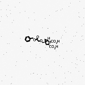 O=C(COC[C@@]12C[C@@H]1N(C(=O)O)[C@H](C(=O)O)C2)OCc1ccccc1